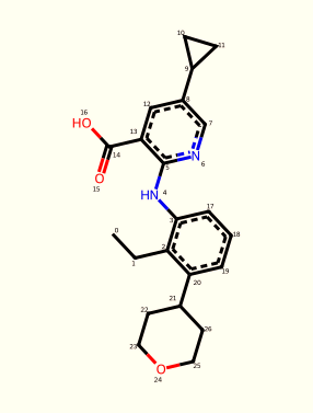 CCc1c(Nc2ncc(C3CC3)cc2C(=O)O)cccc1C1CCOCC1